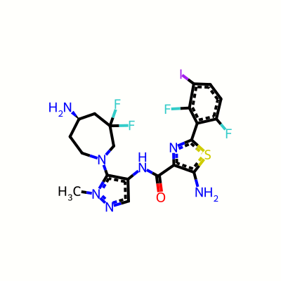 Cn1ncc(NC(=O)c2nc(-c3c(F)ccc(I)c3F)sc2N)c1N1CC[C@@H](N)CC(F)(F)C1